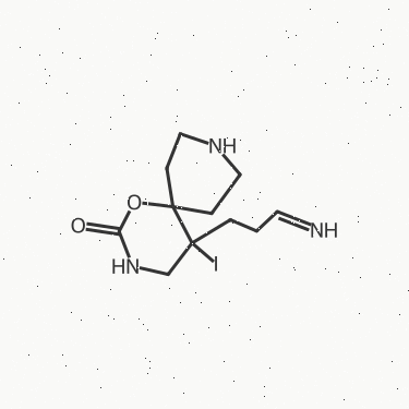 N=CCCC1(I)CNC(=O)OC12CCNCC2